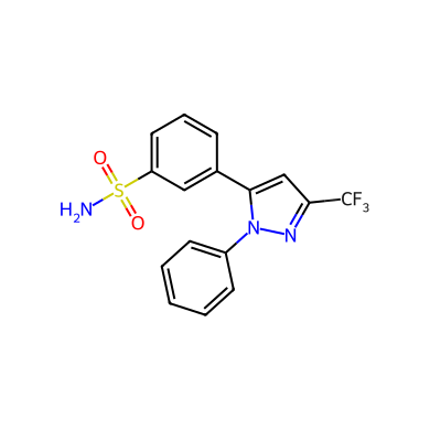 NS(=O)(=O)c1cccc(-c2cc(C(F)(F)F)nn2-c2ccccc2)c1